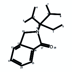 CCC(C(C)C)(C(C)C)N1Cc2ccccc2C1=O